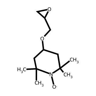 CC1(C)CC(OCC2CO2)CC(C)(C)N1[O]